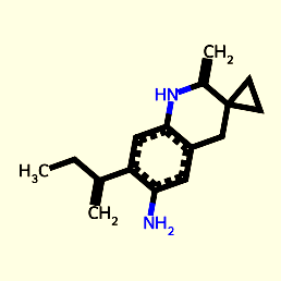 C=C(CC)c1cc2c(cc1N)CC1(CC1)C(=C)N2